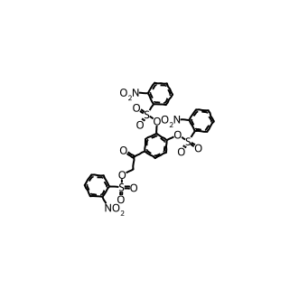 O=C(COS(=O)(=O)c1ccccc1[N+](=O)[O-])c1ccc(OS(=O)(=O)c2ccccc2[N+](=O)[O-])c(OS(=O)(=O)c2ccccc2[N+](=O)[O-])c1